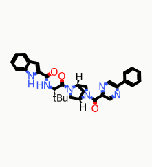 CC(C)(C)[C@H](NC(=O)c1cc2ccccc2[nH]1)C(=O)N1C[C@@H]2C[C@H]1CN2C(=O)c1cnc(-c2ccccc2)cn1